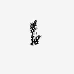 O=C1CCC(N2C(=O)c3ccc(NC[C@H]4C[C@H](n5cc(-c6ncccc6C6CCNCC6)c(C6CC6)n5)C4)cc3C2=O)C(=O)N1